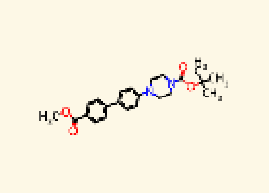 COC(=O)c1ccc(-c2ccc(N3CCN(C(=O)OC(C)(C)C)CC3)cc2)cc1